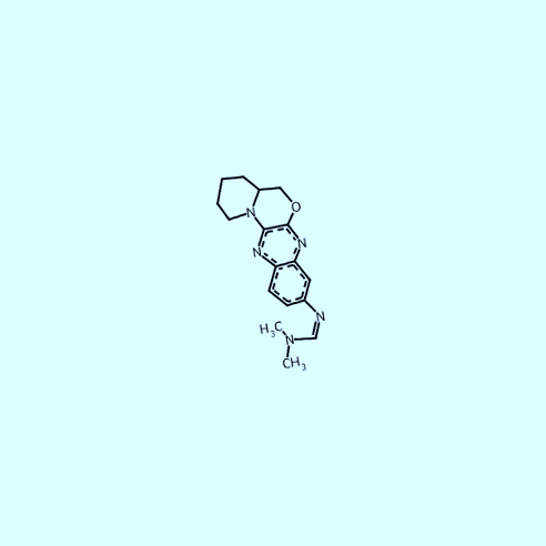 CN(C)/C=N\c1ccc2nc3c(nc2c1)OCC1CCCCN31